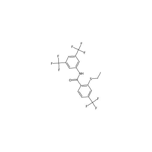 CCSc1cc(C(F)(F)F)ccc1C(=O)Nc1cc(C(F)(F)F)cc(C(F)(F)F)c1